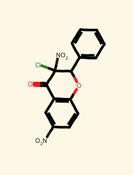 O=C1c2cc([N+](=O)[O-])ccc2OC(c2ccccc2)C1(Cl)[N+](=O)[O-]